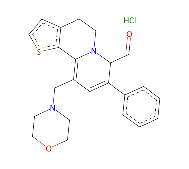 Cl.O=CC1C(c2ccccc2)=CC(CN2CCOCC2)=C2c3sccc3CCN21